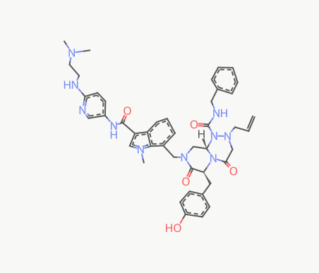 C=CCN1CC(=O)N2[C@@H](Cc3ccc(O)cc3)C(=O)N(Cc3cccc4c(C(=O)Nc5ccc(NCCN(C)C)nc5)cn(C)c34)C[C@@H]2N1C(=O)NCc1ccccc1